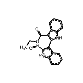 CCOC(=O)c1c(-c2c(N=O)[nH]c3ccccc23)[nH]c2ccccc12